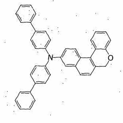 c1ccc(-c2ccc(N(c3ccc(-c4ccccc4)cc3)c3ccc4c5c(ccc4c3)COc3ccccc3-5)cc2)cc1